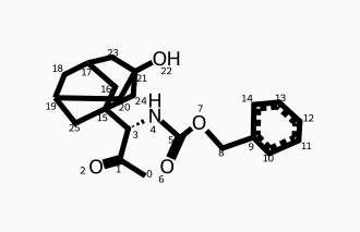 CC(=O)[C@@H](NC(=O)OCc1ccccc1)C12CC3CC(CC(O)(C3)C1)C2